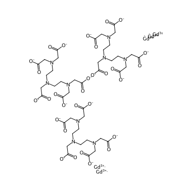 O=C([O-])CN(CCN(CC(=O)[O-])CC(=O)[O-])CCN(CC(=O)[O-])CC(=O)[O-].O=C([O-])CN(CCN(CC(=O)[O-])CC(=O)[O-])CCN(CC(=O)[O-])CC(=O)[O-].O=C([O-])CN(CCN(CC(=O)[O-])CC(=O)[O-])CCN(CC(=O)[O-])CC(=O)[O-].[Gd+3].[Gd+3].[Gd+3].[Gd+3].[Gd+3]